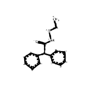 CCONC(=O)C(c1ccccc1)c1ccccc1